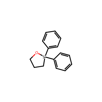 c1ccc([Si]2(c3ccccc3)CCCO2)cc1